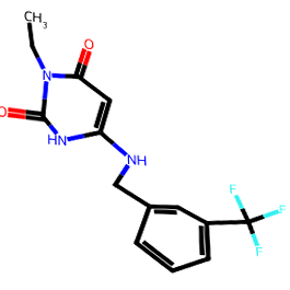 CCn1c(=O)cc(NCc2cccc(C(F)(F)F)c2)[nH]c1=O